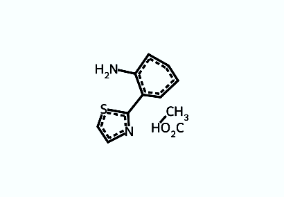 CC(=O)O.Nc1ccccc1-c1nccs1